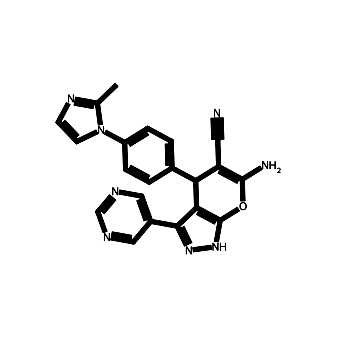 Cc1nccn1-c1ccc(C2C(C#N)=C(N)Oc3[nH]nc(-c4cncnc4)c32)cc1